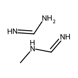 CNC=N.N=CN